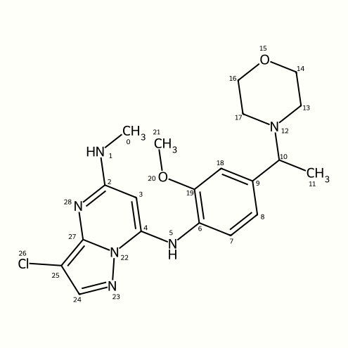 CNc1cc(Nc2ccc(C(C)N3CCOCC3)cc2OC)n2ncc(Cl)c2n1